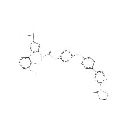 Cc1cccc(-n2nc(C(C)(C)C)cc2NC(=O)Nc2cnc(Oc3ccc(-c4cnc(N5CCCC5=O)s4)cc3)nc2)c1C